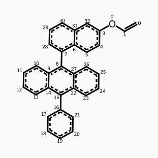 C=COc1ccc2c(-c3c4ccccc4c(-c4ccccc4)c4ccccc34)cccc2c1